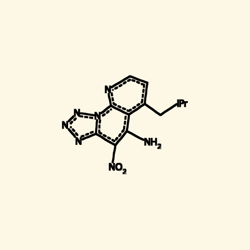 CC(C)Cc1ccnc2c1c(N)c([N+](=O)[O-])c1nnnn12